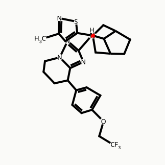 Cc1cc(N2CC3CCC(C2)C3Nc2nc3n(n2)CCCC3c2ccc(OCC(F)(F)F)cc2)sn1